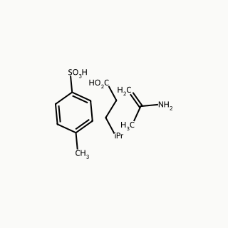 C=C(C)N.CC(C)CCC(=O)O.Cc1ccc(S(=O)(=O)O)cc1